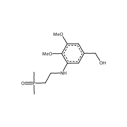 COc1cc(CO)cc(NCCP(C)(C)=O)c1OC